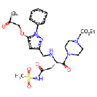 CCOC(=O)N1CCN(C(=O)[C@H](CC(=O)NS(C)(=O)=O)NCc2cc(OCC(=O)C(C)(C)C)n(-c3ccccc3)n2)CC1